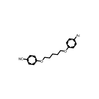 CC(=O)c1ccc(OCCCCCOc2ccc(C#N)cc2)cc1